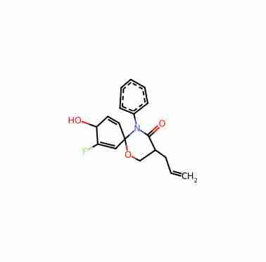 C=CCC1COC2(C=CC(O)C(F)=C2)N(c2ccccc2)C1=O